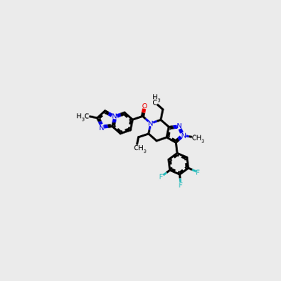 CCC1Cc2c(nn(C)c2-c2cc(F)c(F)c(F)c2)C(CC)N1C(=O)c1ccc2nc(C)cn2c1